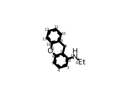 CCNc1cccc2c1Cc1ccccc1O2